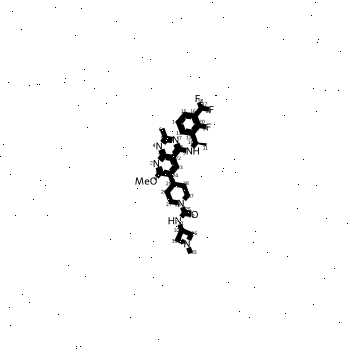 COc1nc2nc(C)nc(N[C@H](C)c3cccc(C(F)F)c3F)c2cc1C1CCN(C(=O)NC2CN(C)C2)CC1